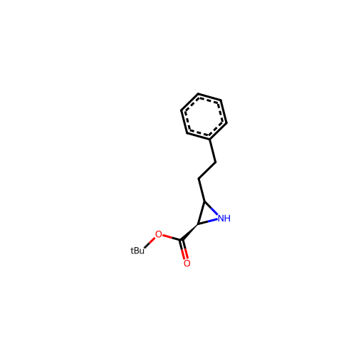 CC(C)(C)OC(=O)[C@@H]1NC1CCc1ccccc1